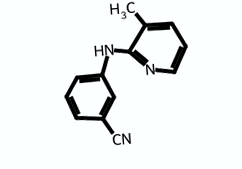 Cc1cccnc1Nc1cccc(C#N)c1